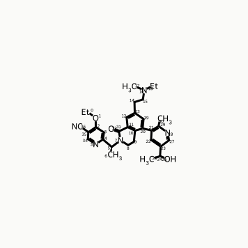 CCOc1cc([C@H](C)N2CCc3c(cc(CCN(C)CC)cc3-c3cc(C(C)O)cnc3C)C2=O)ncc1C#N